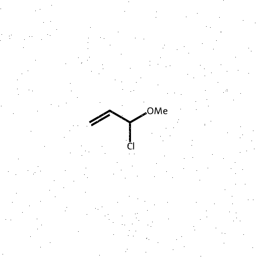 C=CC(Cl)OC